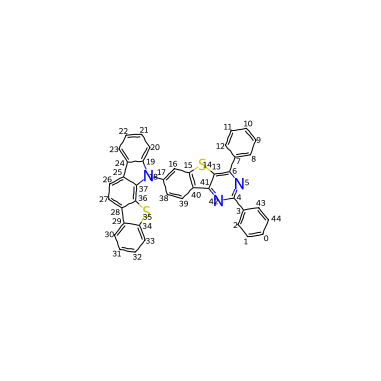 c1ccc(-c2nc(-c3ccccc3)c3sc4cc(-n5c6ccccc6c6ccc7c8ccccc8sc7c65)ccc4c3n2)cc1